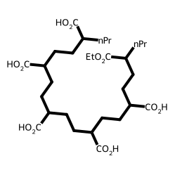 CCCC(CCC(CCC(CCC(CCC(CCC(CCC)C(=O)OCC)C(=O)O)C(=O)O)C(=O)O)C(=O)O)C(=O)O